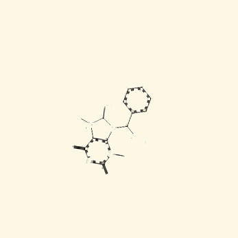 CC(c1ccccc1)N1c2c(c(=O)[nH]c(=O)n2C)N(C)C1S